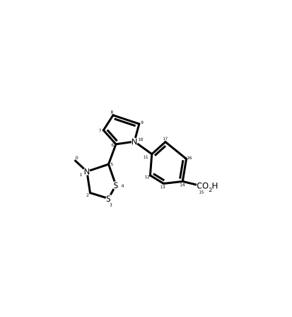 CN1CSSC1c1cccn1-c1ccc(C(=O)O)cc1